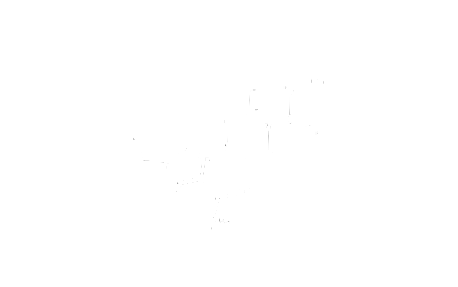 C=C(C)c1nc(C(=O)OC)c(N2CCN(C(=O)OC(C)(C)C)C(C)C2)s1